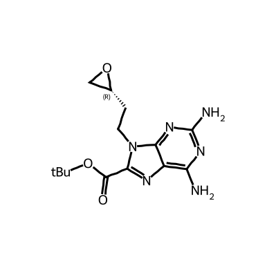 CC(C)(C)OC(=O)c1nc2c(N)nc(N)nc2n1CC[C@@H]1CO1